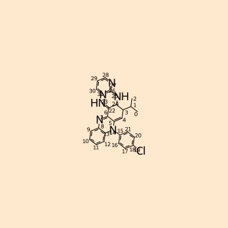 CC(C)C1C=C2C(=Nc3ccccc3N2c2ccc(Cl)cc2)C(=N)C1Nc1ncccn1